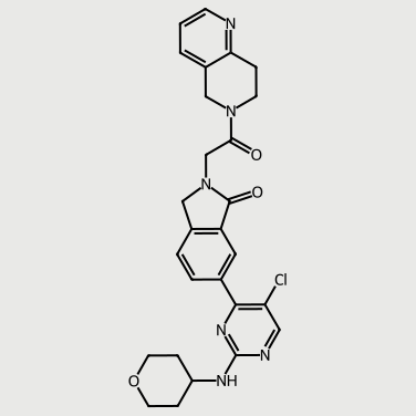 O=C(CN1Cc2ccc(-c3nc(NC4CCOCC4)ncc3Cl)cc2C1=O)N1CCc2ncccc2C1